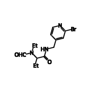 CCC(C(=O)NCc1ccnc(Br)c1)N(C=O)CC